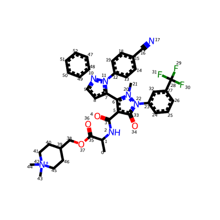 CC(NC(=O)c1c(-c2ccnn2-c2ccc(C#N)cc2)n(C)n(-c2cccc(C(F)(F)F)c2)c1=O)C(=O)OCC1CC[N+](C)(C)CC1.c1ccccc1